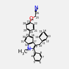 Cn1c(-c2ccccc2)c(Cc2ccccc2)c2cc(-c3ccc(OCC#N)cc3)ccc21